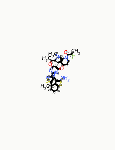 C=C(F)C(=O)N1CCC(Oc2cc(O[C@@H](C)[C@@H]3CCCN3C)nc(-c3cc([C@@]4(C)CCCc5sc(N)c(C#N)c54)sn3)n2)CC1